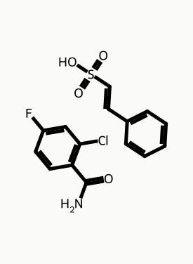 NC(=O)c1ccc(F)cc1Cl.O=S(=O)(O)C=Cc1ccccc1